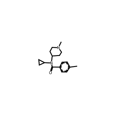 Cc1ccc(C(=O)N(C2CC2)C2CCN(C)CC2)cc1